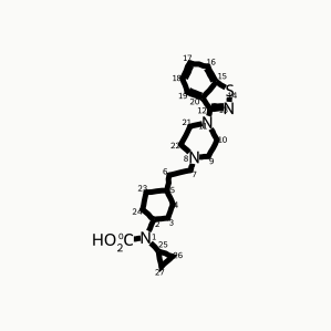 O=C(O)N(C1CCC(CCN2CCN(c3nsc4ccccc34)CC2)CC1)C1CC1